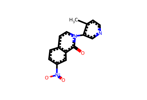 Cc1ccncc1-n1ccc2ccc([N+](=O)[O-])cc2c1=O